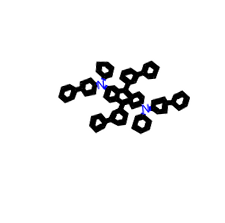 C1=CCC(c2ccc(N(c3ccccc3)c3ccc4c(-c5cccc(-c6ccccc6)c5)c5cc(N(c6ccccc6)C6C=CC(c7ccccc7)=CC6)ccc5c(-c5cccc(-c6ccccc6)c5)c4c3)cc2)C=C1